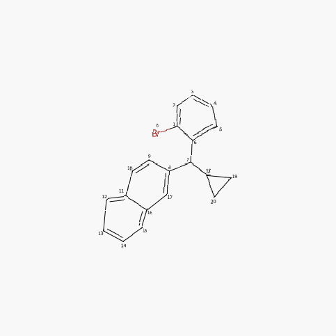 Brc1ccccc1C(c1ccc2ccccc2c1)C1CC1